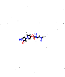 CC(C)NCCNC(=O)OC1CCN(c2cc[nH]c(=O)c2)CC1